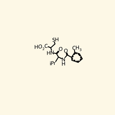 Cc1ccccc1C(=O)NC(C(=O)NC(CS)C(=O)O)C(C)C